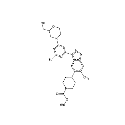 CCc1nc(N2CCOC(CO)C2)cc(-n2ncc3cc(C)c(C4CCN(C(=O)OC(C)(C)C)CC4)cc32)n1